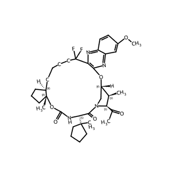 COc1ccc2nc3c(nc2c1)O[C@H]1CN(C(=O)[C@H](C2(C)CCCC2)NC(=O)O[C@]2(C)CCC[C@H]2CCCCC3(F)F)[C@H](C(C)=O)[C@@H]1C